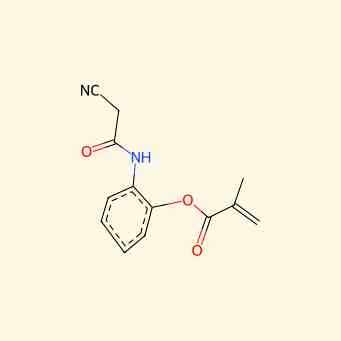 C=C(C)C(=O)Oc1ccccc1NC(=O)CC#N